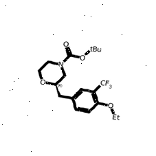 CCOc1ccc(C[C@@H]2CN(C(=O)OC(C)(C)C)CCO2)cc1C(F)(F)F